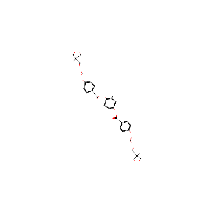 Cc1cc(OC(=O)c2ccc(OCOCC3(C)COC3)cc2)ccc1OC(=O)c1ccc(OCOCC2(C)COC2)cc1